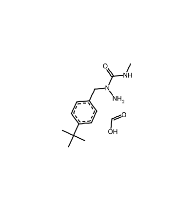 CNC(=O)N(N)Cc1ccc(C(C)(C)C)cc1.O=CO